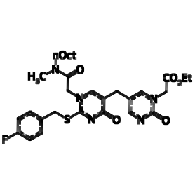 CCCCCCCCN(C)C(=O)Cn1cc(Cc2cnc(=O)n(CC(=O)OCC)c2)c(=O)nc1SCc1ccc(F)cc1